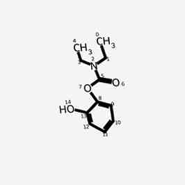 CCN(CC)C(=O)Oc1ccccc1O